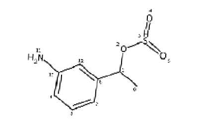 CC(O[SH](=O)=O)c1[c]ccc(N)c1